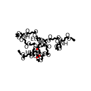 C#CCOC(=O)CCC(=O)NC1(COC(=O)CCC(=O)OCC(CC)(COCC(CC)(COC(=O)CCC(=O)OCC2(NC(=O)CCC(=O)OCC#C)COC(C)(C)OC2)COC(=O)CCC(=O)OCC2(NC(=O)CCC(=O)OCC#C)COC(C)(C)OC2)COC(=O)CCC(=O)OCC2(NC(=O)CCC(=O)OCC#C)COC(C)(C)OC2)COC(C)(C)OC1